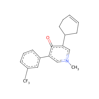 Cn1cc(-c2cccc(C(F)(F)F)c2)c(=O)c(C2CC=CCC2)c1